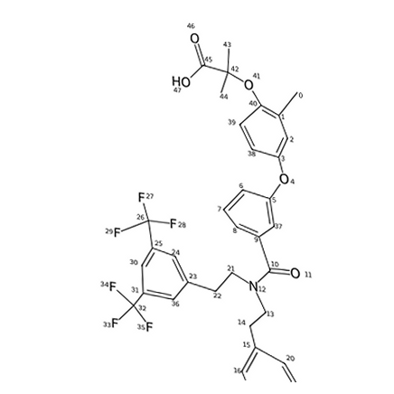 Cc1cc(Oc2cccc(C(=O)N(CCc3ccccc3)CCc3cc(C(F)(F)F)cc(C(F)(F)F)c3)c2)ccc1OC(C)(C)C(=O)O